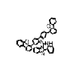 c1ccc2c(c1)NC(n1c3cc(-c4cccc5c4oc4ccccc45)ccc3c3ccc(-c4cccc5c4oc4ccccc45)cc31)n1c-2nc2ccccc21